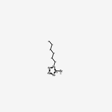 CCCCCCn1nnnc1Br